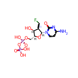 Nc1ccn([C@@H]2O[C@H](COP(=O)(O)OP(=O)(O)O)[C@@H](O)/C2=C\F)c(=O)n1